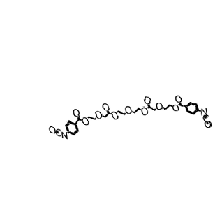 O=C=Nc1ccc(C(=O)OCCOCC(=O)OCCOCCOC(=O)COCCOC(=O)c2ccc(N=C=O)cc2)cc1